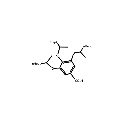 CCCCCCCC(C)Oc1cc(C(=O)O)cc(OC(C)CCCCCCC)c1OC(C)CCCCCCC